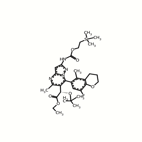 CCOC(=O)[C@@H](OC(C)(C)C)c1c(C)nc2cc(NC(=O)OCC[Si](C)(C)C)nn2c1-c1cc(F)c2c(c1C)CCCO2